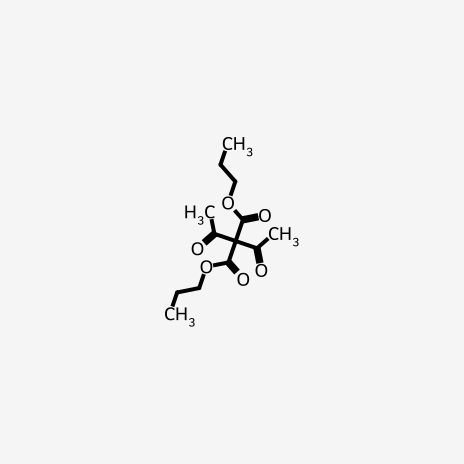 CCCOC(=O)C(C(C)=O)(C(C)=O)C(=O)OCCC